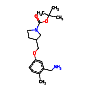 Cc1ccc(OCC2CCN(C(=O)OC(C)(C)C)C2)cc1CN